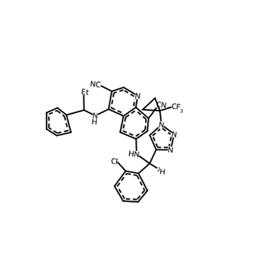 [2H]C(Nc1cc(C#N)c2ncc(C#N)c(NC(CC)c3ccccc3)c2c1)(c1cn(C2(C(F)(F)F)CC2)nn1)c1ccccc1Cl